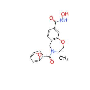 C[C@H]1COc2cc(C(=O)NO)ccc2CN1C(=O)C1Cc2ccc1o2